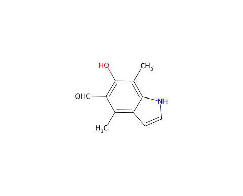 Cc1c(C=O)c(O)c(C)c2[nH]ccc12